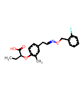 CCC(Oc1ccc(CC=NOCc2ccccc2F)cc1C)C(=O)O